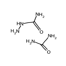 NC(N)=O.NNC(N)=O